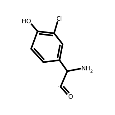 NC([C]=O)c1ccc(O)c(Cl)c1